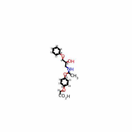 CC(NCC(O)COc1ccccc1)Oc1ccc(OCC(=O)O)cc1